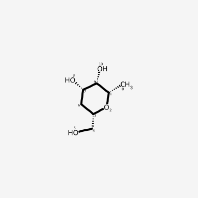 C[C@@H]1O[C@H](CO)C[C@H](O)[C@@H]1O